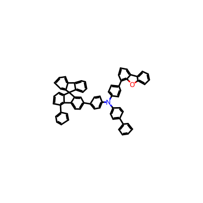 c1ccc(-c2ccc(N(c3ccc(-c4ccc5c(c4)C4(c6ccccc6-c6ccccc64)c4cccc(-c6ccccc6)c4-5)cc3)c3ccc(-c4cccc5c4oc4ccccc45)cc3)cc2)cc1